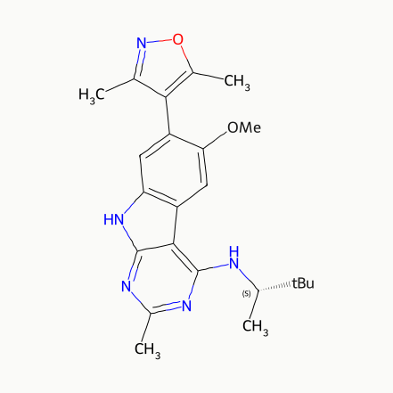 COc1cc2c(cc1-c1c(C)noc1C)[nH]c1nc(C)nc(N[C@@H](C)C(C)(C)C)c12